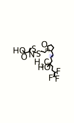 C[C@@](O)(C/C=C/C1CCC(=O)[C@@H]1CCSc1nc(C(=O)O)cs1)CCC(F)=C(F)F